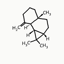 C=C1CCC[C@]2(C)CC[C@H]3[C@@H]([C@@H]12)C3(C)C